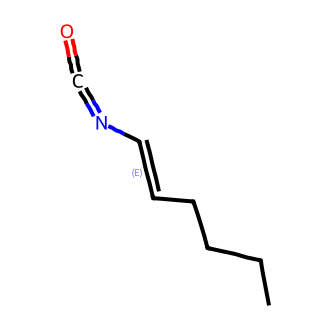 CCCC/C=C/N=C=O